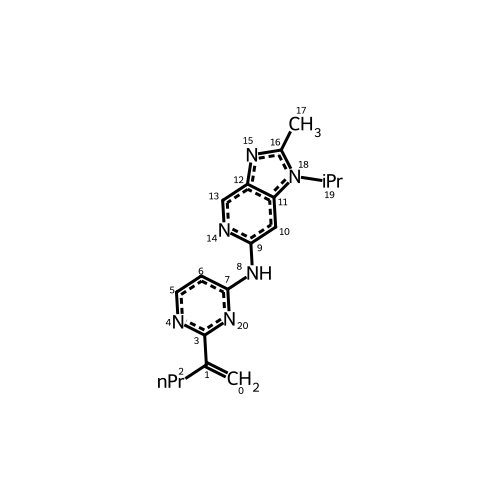 C=C(CCC)c1nccc(Nc2cc3c(cn2)nc(C)n3C(C)C)n1